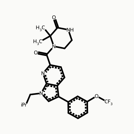 CC(C)Cn1cc(-c2cccc(OC(F)(F)F)c2)c2ccc(C(=O)N3CCNC(=O)C3(C)C)nc21